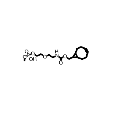 COP(=O)(O)OCCOCCNC(=O)OCC1C2CCC#CCCC21